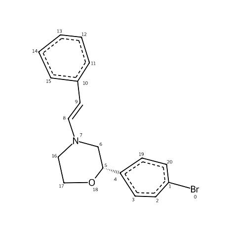 Brc1ccc([C@H]2CN(C=Cc3ccccc3)CCO2)cc1